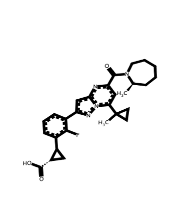 C[C@@H]1CCCCCN1C(=O)c1cc(C2(C)CC2)n2nc(-c3cccc(C4C[C@@H]4C(=O)O)c3F)cc2n1